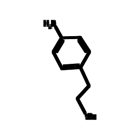 Bc1ccc(CCC(C)(C)C)cc1